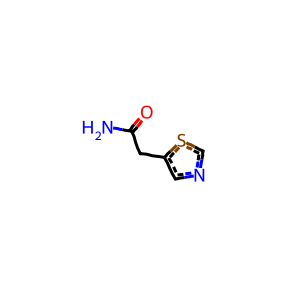 NC(=O)Cc1cncs1